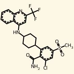 CS(=O)(=O)c1cc(Cl)c(C(N)=O)c(C2CCC(Nc3cc(C(F)(F)F)nc4ccccc34)CC2)c1